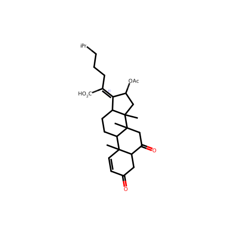 CC(=O)OC1CC2(C)C(CCC3C4(C)C=CC(=O)CC4C(=O)CC32C)/C1=C(/CCCC(C)C)C(=O)O